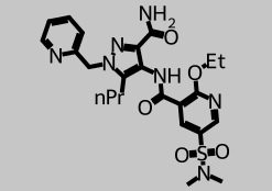 CCCc1c(NC(=O)c2cc(S(=O)(=O)N(C)C)cnc2OCC)c(C(N)=O)nn1Cc1ccccn1